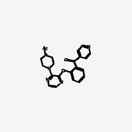 CC(=O)N1CCN(c2nccnc2Oc2ccccc2C(=O)c2ccncc2)CC1